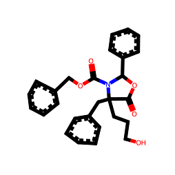 O=C(OCc1ccccc1)N1C(c2ccccc2)OC(=O)C1(CCCO)Cc1ccccc1